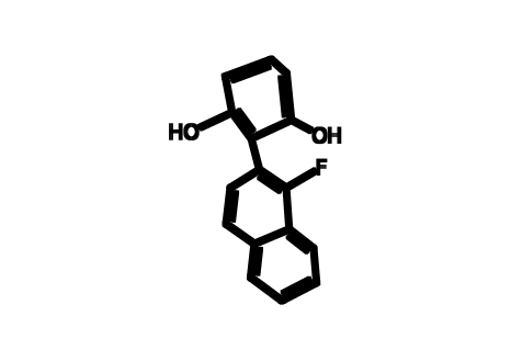 Oc1cccc(O)c1-c1ccc2ccccc2c1F